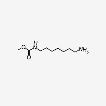 COC(=O)NCCCCCCCN